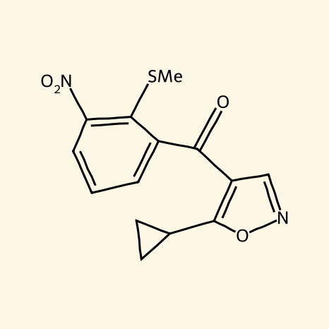 CSc1c(C(=O)c2cnoc2C2CC2)cccc1[N+](=O)[O-]